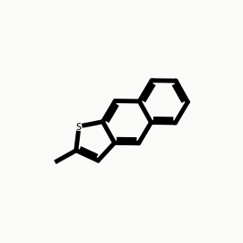 Cc1cc2cc3ccccc3cc2s1